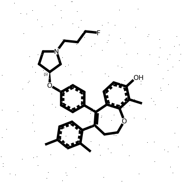 Cc1ccc(C2=C(c3ccc(O[C@H]4CCN(CCCF)C4)cc3)c3ccc(O)c(C)c3OCC2)c(C)c1